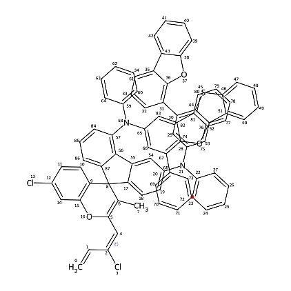 C=C/C(Cl)=C\C1=C(C)C2(c3ccc(Cl)cc3O1)c1ccc(N(c3ccccc3)c3cc(-c4cccc5c4oc4ccccc45)c4sc5ccccc5c4c3)cc1-c1c(N(c3ccccc3)c3cc(-c4ccccc4)c4oc5ccccc5c4c3)cccc12